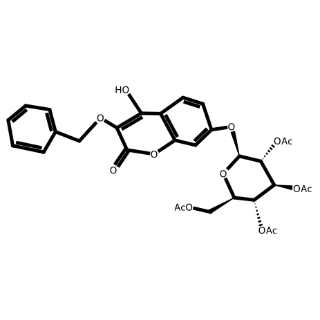 CC(=O)OC[C@H]1O[C@@H](Oc2ccc3c(O)c(OCc4ccccc4)c(=O)oc3c2)[C@H](OC(C)=O)[C@@H](OC(C)=O)[C@@H]1OC(C)=O